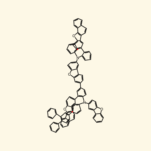 c1ccc(-c2ccc(-c3ccc(N(c4ccc5oc6ccccc6c5c4)c4ccc(-c5ccc6c(c5)oc5ccc(N(c7ccccc7)c7ccccc7-c7ccc8oc9c%10ccccc%10ccc9c8c7)cc56)cc4-c4ccc5oc6c7ccccc7ccc6c5c4)cc3)cc2-c2ccccc2)cc1